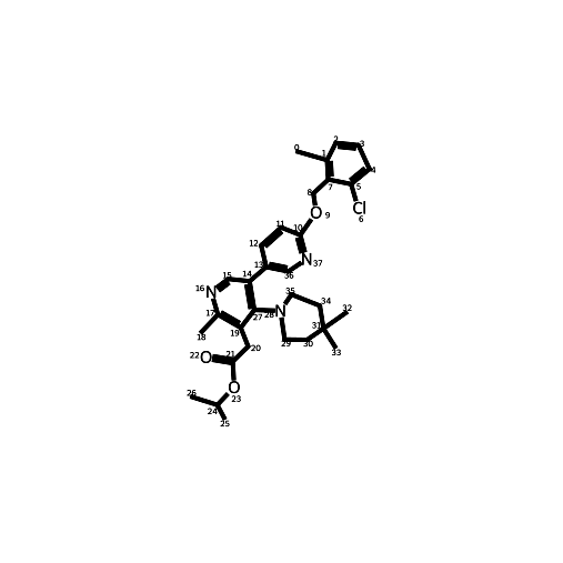 Cc1cccc(Cl)c1COc1ccc(-c2cnc(C)c(CC(=O)OC(C)C)c2N2CCC(C)(C)CC2)cn1